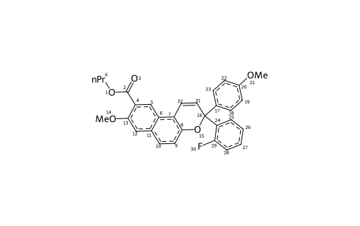 CCCOC(=O)c1cc2c3c(ccc2cc1OC)OC(c1ccc(OC)cc1)(c1ccccc1F)C=C3